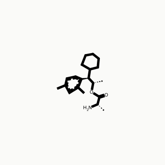 Cc1ccc([C@@H](C2CCCCC2)[C@H](C)OC(=O)[C@H](C)N)c(C)c1